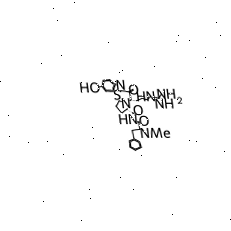 CN[C@H](Cc1ccccc1)C(=O)NC(=O)[C@@H]1CCCN1[C@@H](CCCNC(=N)N)C(=O)c1nc2ccc(O)cc2s1